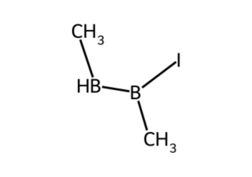 CBB(C)I